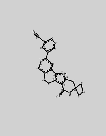 N#Cc1cncc(-c2cc3c(cn2)CCc2c-3[nH]c3c2C(=O)NC2(CCC2)C3)c1